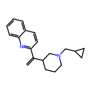 C=C(c1ccc2ccccc2n1)C1CCCN(CC2CC2)C1